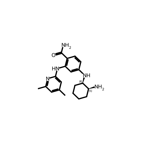 Cc1cc(C)nc(Nc2cc(N[C@@H]3CCCC[C@@H]3N)ccc2C(N)=O)c1